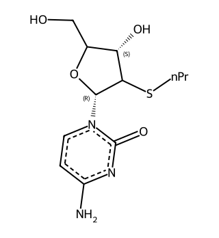 CCCSC1[C@@H](O)C(CO)O[C@H]1n1ccc(N)nc1=O